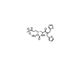 CC(C)(C)OC(=O)NC(CCCCNS(C)(=O)=O)C(=O)N(Cc1cccs1)Cc1cccs1